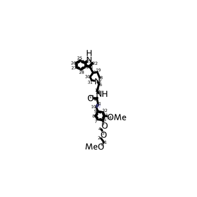 COCCOCOc1ccc(/C=C/C(=O)NCCN2CCC(c3c[nH]c4ccccc34)CC2)cc1OC